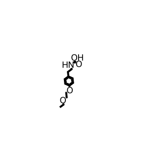 CCOCCOc1ccc(CCNC(=O)O)cc1